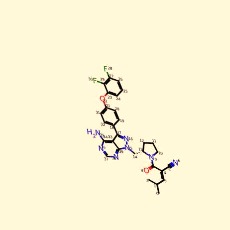 CC(C)/C=C(/C#N)C(=O)N1CCC[C@H]1Cn1nc(-c2ccc(Oc3cccc(F)c3F)cc2)c2c(N)ncnc21